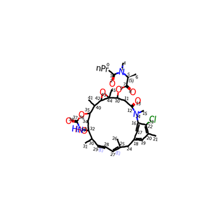 CCCC(=O)N(C)[C@@H](C)C(=O)OC1CC(=O)N(C)c2cc(cc(C)c2Cl)C/C(C)=C/C=C/C(C)C2(O)CC(OC(=O)N2)C(C)C2OC12C